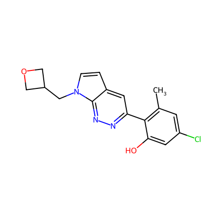 Cc1cc(Cl)cc(O)c1-c1cc2ccn(CC3COC3)c2nn1